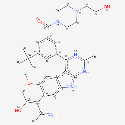 COc1cc2c(cc1/C(C(C)=N)=C(\C)O)[nH]c1nc(C)nc(-c3cc(C(=O)N4CCN(CCO)CC4)cc(C(C)(C)C)c3)c12